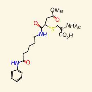 COC(=O)CC(SC[C@H](NC(C)=O)C(=O)O)C(=O)NCCCCCC(=O)Nc1ccccc1